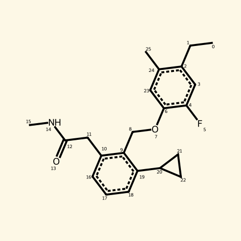 CCc1cc(F)c(OCc2c(CC(=O)NC)cccc2C2CC2)cc1C